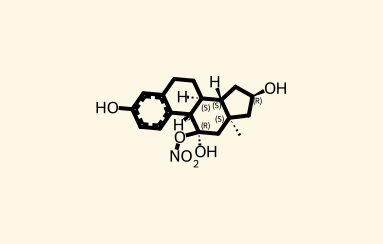 C[C@@]12C[C@H](O)C[C@H]1[C@@H]1CCc3cc(O)ccc3[C@H]1[C@](O)(O[N+](=O)[O-])C2